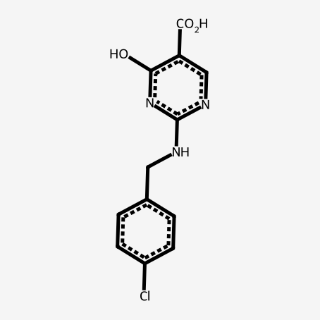 O=C(O)c1cnc(NCc2ccc(Cl)cc2)nc1O